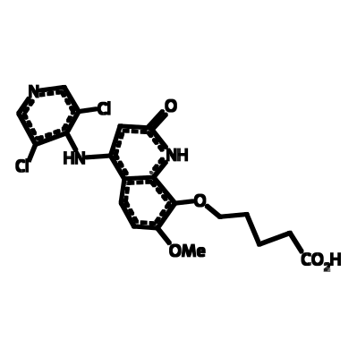 COc1ccc2c(Nc3c(Cl)cncc3Cl)cc(=O)[nH]c2c1OCCCCC(=O)O